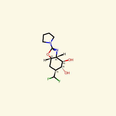 O[C@H]1[C@H](O)[C@@H](C(F)F)C[C@@H]2OC(N3CCCC3)=N[C@H]12